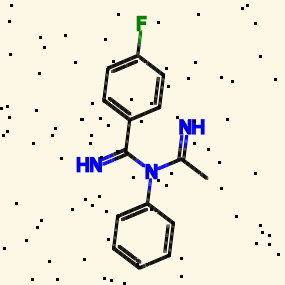 CC(=N)N(C(=N)c1ccc(F)cc1)c1ccccc1